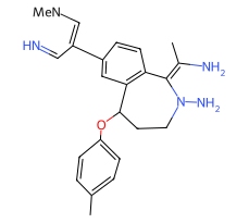 CN/C=C(\C=N)c1ccc2c(c1)C(Oc1ccc(C)cc1)CCN(N)/C2=C(/C)N